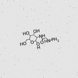 O=C(CNP)NC1C(O)OC(CO)C(O)C1O